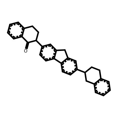 O=C1c2ccccc2CCC1c1ccc2c(c1)Cc1cc(C3CCc4ccccc4C3)ccc1-2